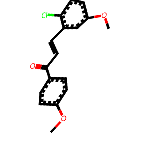 COc1ccc(C(=O)C=Cc2cc(OC)ccc2Cl)cc1